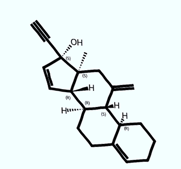 C#C[C@]1(O)C=C[C@H]2[C@@H]3CCC4=CCCC[C@@H]4[C@H]3C(=C)C[C@@]21C